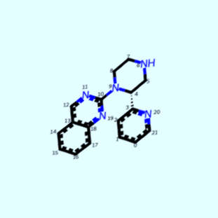 c1ccc([C@H]2CNCCN2c2ncc3ccccc3n2)nc1